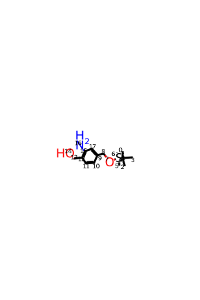 CC(C)(C)[Si](C)(C)OCc1ccc(CO)c(N)c1